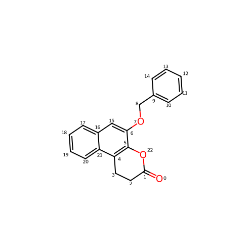 O=C1CCc2c(c(OCc3ccccc3)cc3ccccc23)O1